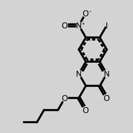 CCCCOC(=O)C1N=c2cc([N+](=O)[O-])c(I)cc2=NC1=O